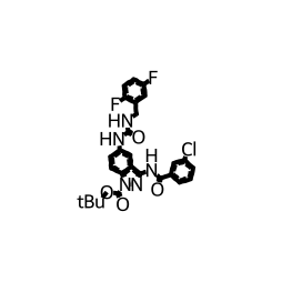 CC(C)(C)OC(=O)n1nc(NC(=O)c2cccc(Cl)c2)c2cc(NC(=O)NCc3cc(F)ccc3F)ccc21